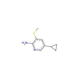 CSc1cc(C2CC2)cnc1N